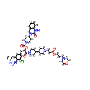 Nc1c(Cl)cc(C[C@@H](OC(=O)N2CCC(N3Cc4ccccc4NC3=O)CC2)C(=O)N2CCC(C3CCN(CCC(=O)OCCCN4CCOCC4)CC3)CC2)cc1C(F)(F)F